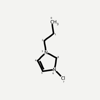 CCCN1C=CN(Cl)C1